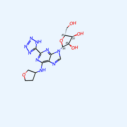 OC[C@H]1O[C@@H](n2cnc3c(NC4CCOC4)nc(-c4nnn[nH]4)nc32)[C@H](O)[C@@H]1O